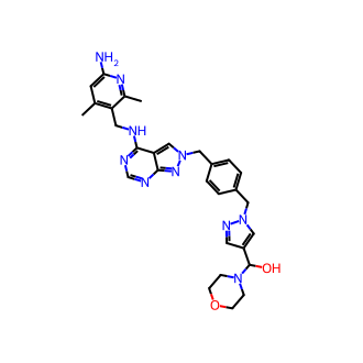 Cc1cc(N)nc(C)c1CNc1ncnc2nn(Cc3ccc(Cn4cc(C(O)N5CCOCC5)cn4)cc3)cc12